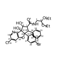 CCOC(CNC(=O)C1C(O)C2(O)c3ncc(Cl)cc3OC2(c2ccc(Br)cc2)C1c1ccccc1)OCC